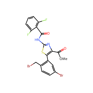 COC(=O)c1nc(NC(=O)c2c(F)cccc2F)sc1-c1cc(Br)ccc1CBr